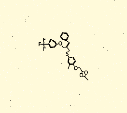 Cc1cc(SCC(=Cc2ccccc2)COc2ccc(C(F)(F)F)cc2)ccc1OCC1OC(C)O1